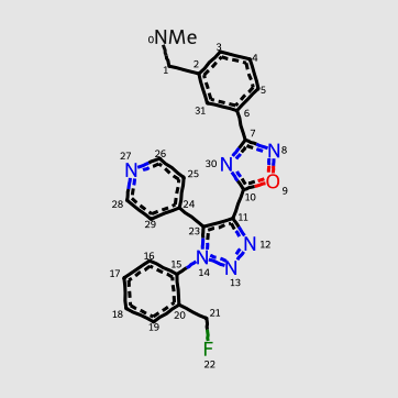 CNCc1cccc(-c2noc(-c3nnn(-c4ccccc4CF)c3-c3ccncc3)n2)c1